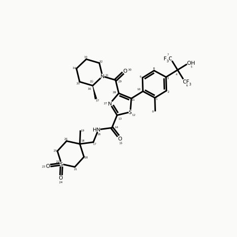 Cc1cc(C(O)(C(F)(F)F)C(F)(F)F)ccc1-c1sc(C(=O)NCC2(C)CCS(=O)(=O)CC2)nc1C(=O)N1CCCC[C@@H]1C